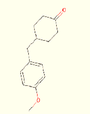 COc1ccc(CC2CCC(=O)CC2)cc1